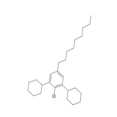 CCCCCCCCCc1cc(C2CCCCC2)c([O])c(C2CCCCC2)c1